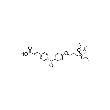 CCO[Si](CCCOc1ccc(C(=O)c2ccc(/C=C/C(=O)O)cc2)cc1)(OCC)OCC